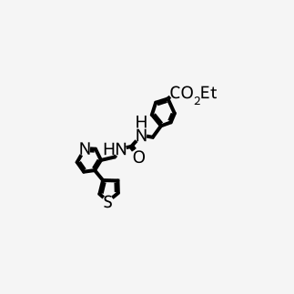 CCOC(=O)c1ccc(CNC(=O)NCc2cnccc2-c2ccsc2)cc1